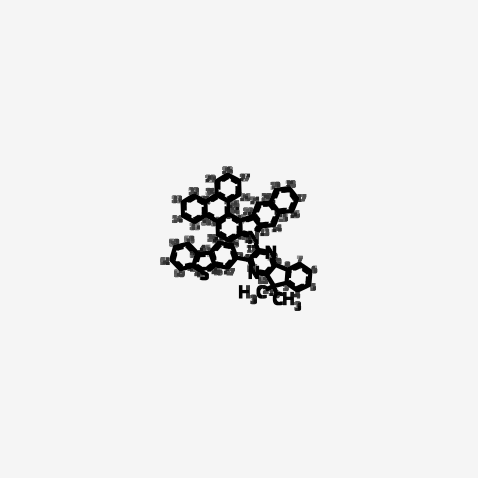 CC1(C)c2ccccc2-c2nc(-n3c4cc5ccccc5cc4c4c5c6ccccc6c6ccccc6c5ccc43)c(-c3ccc4c(c3)sc3ccccc34)nc21